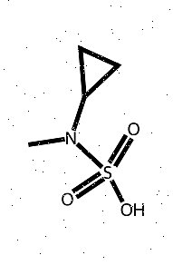 CN(C1CC1)S(=O)(=O)O